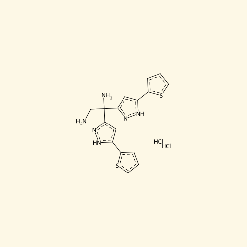 Cl.Cl.NCC(N)(c1cc(-c2cccs2)[nH]n1)c1cc(-c2cccs2)[nH]n1